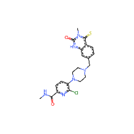 CNC(=O)c1ccc(N2CCN(Cc3ccc4c(=S)n(C)c(=O)[nH]c4c3)CC2)c(Cl)n1